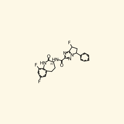 O=C(N[C@H]1CCc2cc(F)cc(F)c2NC1=O)c1nc2n(n1)C(c1ccccc1)CC2F